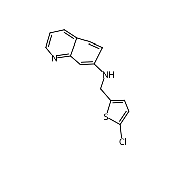 Clc1ccc(CNc2ccc3cccnc3c2)s1